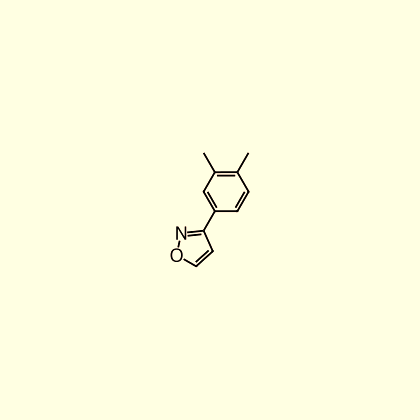 Cc1ccc(-c2ccon2)cc1C